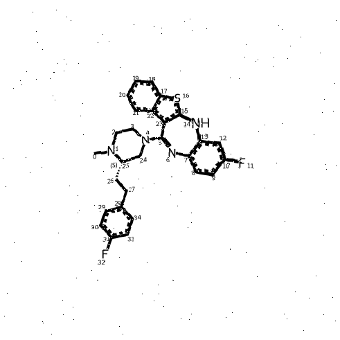 CN1CCN(C2=Nc3ccc(F)cc3Nc3sc4ccccc4c32)C[C@@H]1CCc1ccc(F)cc1